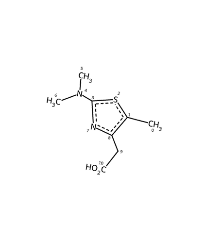 Cc1sc(N(C)C)nc1CC(=O)O